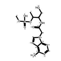 COP(=O)(O)OC(C)C(CO)NC(=O)Cn1cnc2c(N)ncnc21